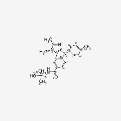 Cc1nc2c(c3cc(C(=O)NCC(C)(C)O)ccc3n2-c2ccc(C(F)(F)F)cc2)n1C